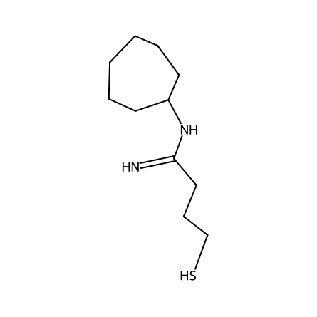 N=C(CCCS)NC1CCCCCC1